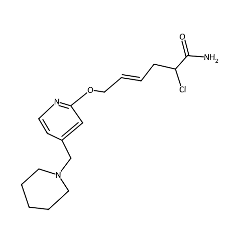 NC(=O)C(Cl)CC=CCOc1cc(CN2CCCCC2)ccn1